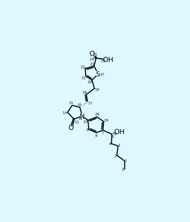 CCCCC[C@@H](O)c1ccc(N2C(=O)CC[C@@H]2/C=C/Cc2ccc(C(=O)O)s2)cc1